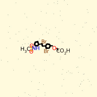 CS(=O)(=O)Nc1cccc(C=Cc2c(Br)cc(COCC(=O)O)cc2Br)c1